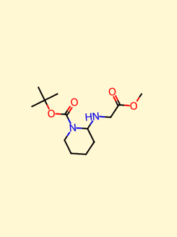 COC(=O)CNC1CCCCN1C(=O)OC(C)(C)C